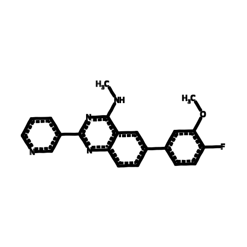 CNc1nc(-c2cccnc2)nc2ccc(-c3ccc(F)c(OC)c3)cc12